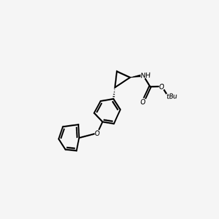 CC(C)(C)OC(=O)N[C@@H]1C[C@H]1c1ccc(Oc2ccccc2)cc1